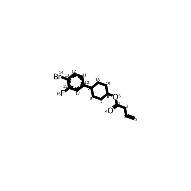 C=CCC(=O)OC1CCC(c2ccc(Br)c(F)c2)CC1